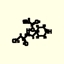 CC(C)(C)C(=O)OC1(CNC(=O)CCl)CCNCC1